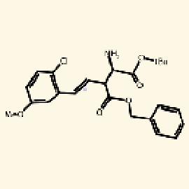 COc1ccc(Cl)c(/C=C/C(C(=O)OCc2ccccc2)C(N)C(=O)OC(C)(C)C)c1